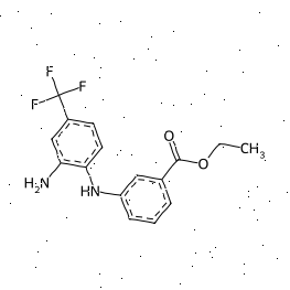 CCOC(=O)c1cccc(Nc2ccc(C(F)(F)F)cc2N)c1